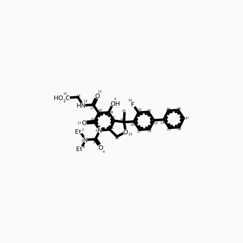 CCN(CC)C(=O)n1c2c(c(O)c(C(=O)NCC(=O)O)c1=O)C(C)(c1ccc(-c3ccccc3)cc1F)OC2